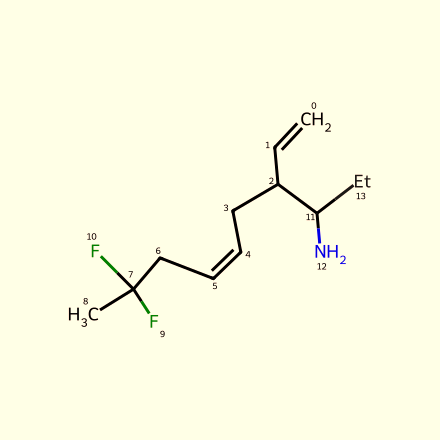 C=CC(C/C=C\CC(C)(F)F)C(N)CC